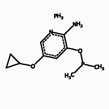 CP(C)Oc1cc(OC2CC2)cnc1N.P